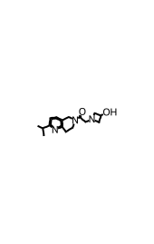 CC(C)c1ccc2c(n1)CCN(C(=O)CN1CC(O)C1)C2